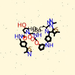 Cc1ncsc1-c1ccc([C@H](C)NC(=O)[C@@H]2C[C@@H](O)CN2C(=O)[C@@H](NC(=O)COc2cccc(Nc3ccc(C4=N[C@@H](CC(=O)O)c5nnc(C)n5-c5sc(C)c(C)c54)cc3)c2)C(C)(C)C)cc1